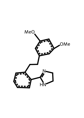 COc1cc(CCc2ccccc2C2=NCCN2)cc(OC)c1